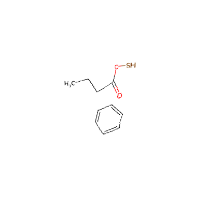 CCCC(=O)OS.c1ccccc1